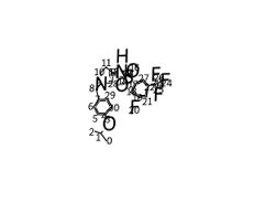 CC(C)Oc1ccc(CN2CC[C@@H](NS(=O)(=O)c3cc(F)cc(C(F)(F)F)c3)C2)cc1